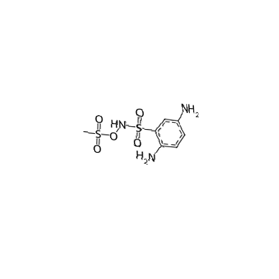 CS(=O)(=O)ONS(=O)(=O)c1cc(N)ccc1N